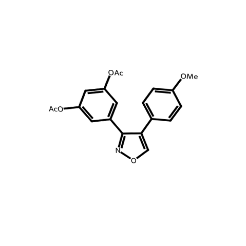 COc1ccc(-c2conc2-c2cc(OC(C)=O)cc(OC(C)=O)c2)cc1